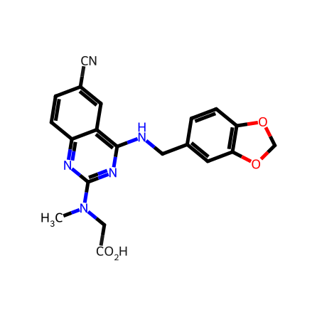 CN(CC(=O)O)c1nc(NCc2ccc3c(c2)OCO3)c2cc(C#N)ccc2n1